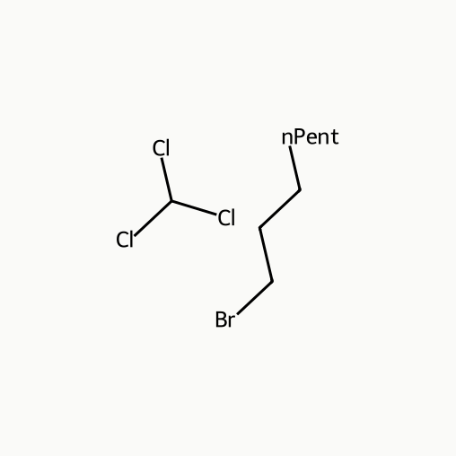 CCCCCCCCBr.ClC(Cl)Cl